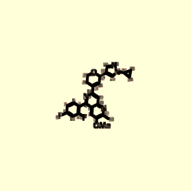 COc1cc2c(-c3ccc(F)cc3F)nc(C3=C[C@H](c4cnn(C5CC5)c4)OCC3)cc2nc1C